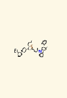 C=C/C=C\C1=C(C2=CCC(C)(c3ccccc3CC)C=C2)C/C(=C\C=C/C(C)n2c3ccccc3c3cc(C)c(-c4ccccc4C)cc32)S1